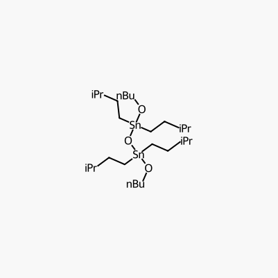 CCCC[O][Sn]([CH2]CC(C)C)([CH2]CC(C)C)[O][Sn]([CH2]CC(C)C)([CH2]CC(C)C)[O]CCCC